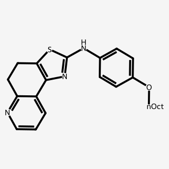 CCCCCCCCOc1ccc(Nc2nc3c(s2)CCc2ncccc2-3)cc1